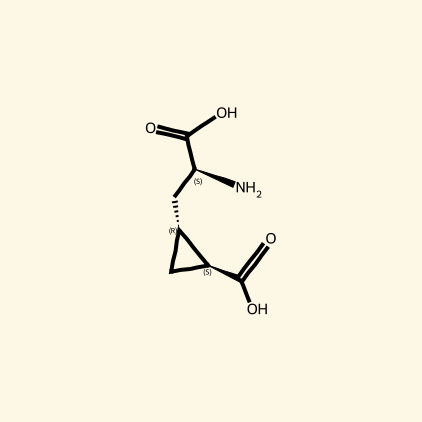 N[C@@H](C[C@H]1C[C@@H]1C(=O)O)C(=O)O